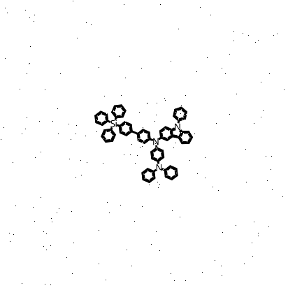 c1ccc(N(c2ccccc2)c2ccc(N(c3ccc(-c4ccc([Si](c5ccccc5)(c5ccccc5)c5ccccc5)cc4)cc3)c3ccc4c(c3)c3ccccc3n4-c3ccccc3)cc2)cc1